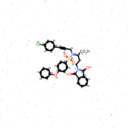 O=C(O)C(CCN1C(=O)c2ccccc2C1=O)N(CC#Cc1ccc(Cl)cc1)S(=O)(=O)c1ccc(Oc2ccccc2)cc1